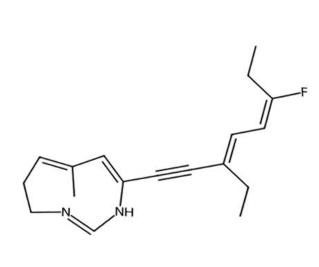 CC/C(F)=C\C=C(\C#C/C1=C/C(C)=C/CC/N=C/N1)CC